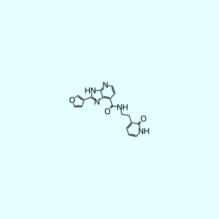 O=C(NCCc1ccc[nH]c1=O)c1ccnc2[nH]c(-c3ccoc3)nc12